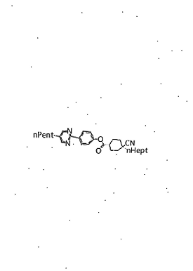 CCCCCCC[C@]1(C#N)CC[C@H](C(=O)Oc2ccc(-c3ncc(CCCCC)cn3)cc2)CC1